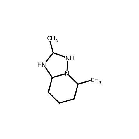 CC1NC2CCCC(C)N2N1